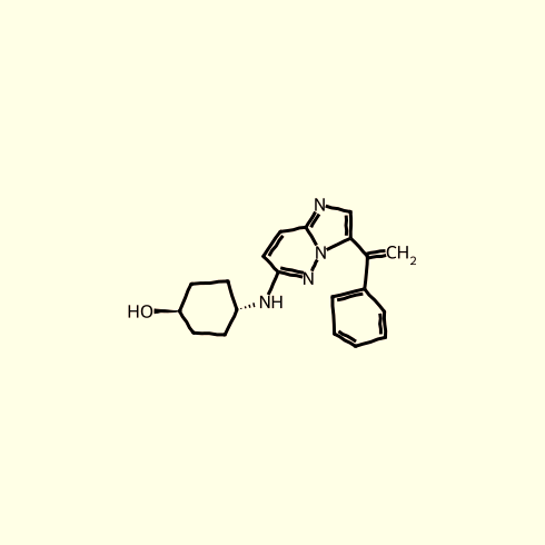 C=C(c1ccccc1)c1cnc2ccc(N[C@H]3CC[C@H](O)CC3)nn12